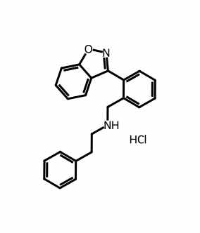 Cl.c1ccc(CCNCc2ccccc2-c2noc3ccccc23)cc1